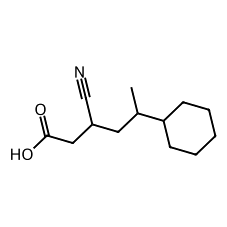 CC(CC(C#N)CC(=O)O)C1CCCCC1